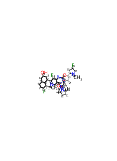 C#Cc1c(F)ccc2cc(O)cc(-c3ncc4c(N5C[C@H]6CC[C@@H](C5)N6C(=O)C=C)nc(OC[C@@H]5C[C@@H](F)CN5C)nc4c3F)c12